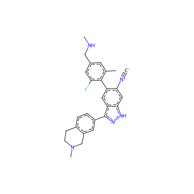 [C-]#[N+]c1cc2[nH]nc(-c3ccc4c(c3)CN(C)CC4)c2cc1-c1c(C)cc(CNC)cc1F